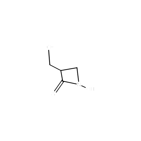 CCC1CN(O)C1=O